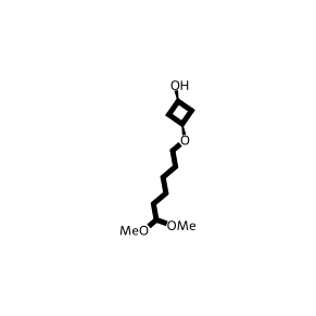 COC(CCCCCO[C@H]1C[C@@H](O)C1)OC